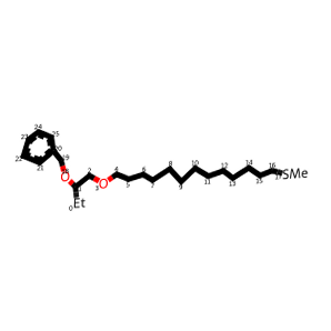 CCC(COCCCCCCCCCCCCCSC)OCc1ccccc1